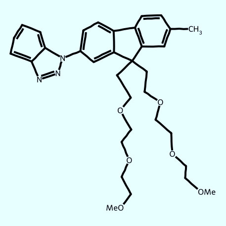 COCCOCCOCCC1(CCOCCOCCOC)c2cc(C)ccc2-c2ccc(-n3nnc4ccccc43)cc21